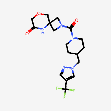 O=C1COCC2(CN(C(=O)N3CCC(Cn4cc(C(F)(F)F)cn4)CC3)C2)N1